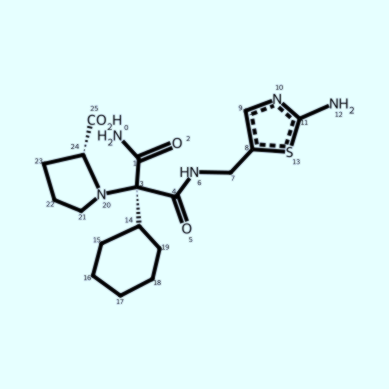 NC(=O)[C@](C(=O)NCc1cnc(N)s1)(C1CCCCC1)N1CCC[C@@H]1C(=O)O